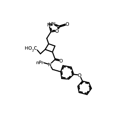 CCCN(Cc1ccc(Oc2ccccc2)cc1)C(=O)C1CC(Cc2n[nH]c(=O)o2)C1CC(=O)O